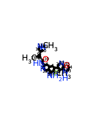 Cc1c(-c2cc3cc(NC(=O)[C@H]4[C@@H](C)[C@@H]4c4cnn(C)c4)ncc3c(N)c2F)cnc2c1NCCO2